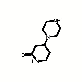 O=C1CC(N2CCNCC2)CCN1